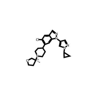 C[C@]1(N2CCC(c3cc4c(cnn4-c4cnn(C5CC5)c4)cc3Cl)CC2)CCOC1